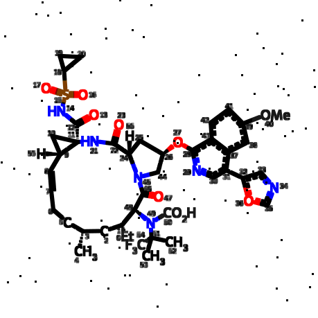 CC[C@@H]1C[C@H](C)CCC=C[C@@H]2C[C@@]2(C(=O)NS(=O)(=O)C2CC2)NC(=O)[C@@H]2C[C@@H](Oc3ncc(-c4cnco4)c4cc(OC)ccc34)CN2C(=O)[C@H]1N(C(=O)O)C(C)(C)C(F)(F)F